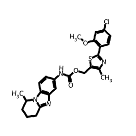 COc1cc(Cl)ccc1-c1nc(C)c(COC(=O)Nc2ccc3c(c2)nc2n3C(C)CCC2)s1